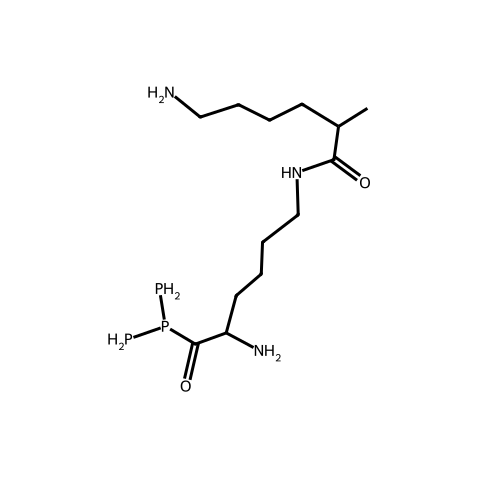 CC(CCCCN)C(=O)NCCCCC(N)C(=O)P(P)P